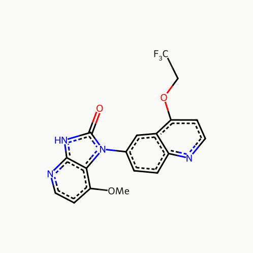 COc1ccnc2[nH]c(=O)n(-c3ccc4nccc(OCC(F)(F)F)c4c3)c12